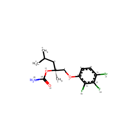 CC(C)C[C@@](C)(COc1ccc(Br)c(F)c1F)OC(N)=O